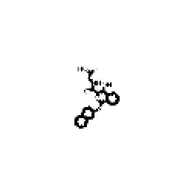 O=C(O)CNC(=O)c1nc(Sc2ccc3ccccc3c2)c2ccccc2c1O